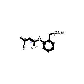 CCOC(=O)Cc1ccccc1O/C(=C/C(C)Br)C(C)C